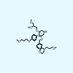 COCCCSc1ccc([C@@H]2[C@@H](OCc3ccc4c(c3)N(CCCOC)CCO4)CNC[C@H]2OCC(O)COC)cc1